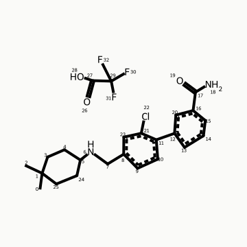 CC1(C)CCC(NCc2ccc(-c3cccc(C(N)=O)c3)c(Cl)c2)CC1.O=C(O)C(F)(F)F